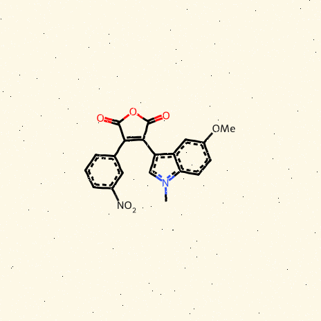 COc1ccc2c(c1)c(C1=C(c3cccc([N+](=O)[O-])c3)C(=O)OC1=O)cn2C